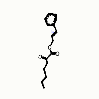 CCCCCC(=O)C(=O)OC/C=C/c1ccccc1